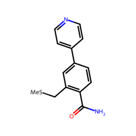 CSCc1cc(-c2ccncc2)ccc1C(N)=O